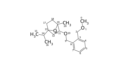 COCc1ccccc1COC1CC2(C(C)C)CCC1(C)O2